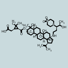 C=C(C)[C@@H]1CC[C@]2(NCC[C@H]([C@@H](C)O)N3CCS(=O)(=O)CC3)CC[C@]3(C)[C@H](CC[C@@H]4[C@@]5(C)CC[C@H](OC(=O)[C@H]6[C@@H](CC(=O)O)C6(C)C)C(C)(C)[C@@H]5CC[C@]43C)[C@@H]12